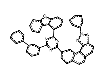 c1ccc(-c2cccc(-c3nc(-c4ccc5ccc6ccc7nn(-c8ccccc8)nc7c6c5c4)nc(-c4cccc5oc6ccccc6c45)n3)c2)cc1